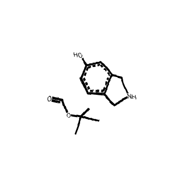 CC(C)(C)OC=O.Oc1ccc2c(c1)CNC2